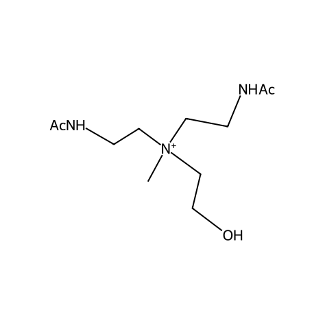 CC(=O)NCC[N+](C)(CCO)CCNC(C)=O